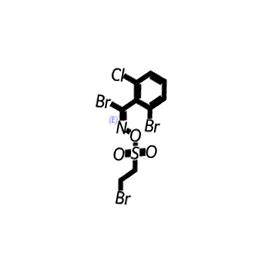 O=S(=O)(CCBr)O/N=C(/Br)c1c(Cl)cccc1Br